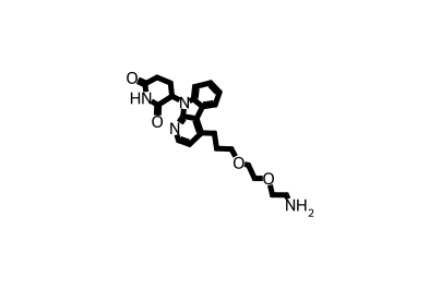 NCCOCCOCCCc1ccnc2c1c1ccccc1n2C1CCC(=O)NC1=O